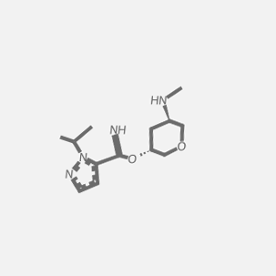 CN[C@H]1COC[C@H](OC(=N)c2ccnn2C(C)C)C1